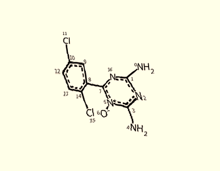 Nc1nc(N)[n+]([O-])c(-c2cc(Cl)ccc2Cl)n1